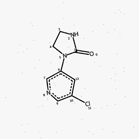 O=C1NCCN1c1cncc(Cl)c1